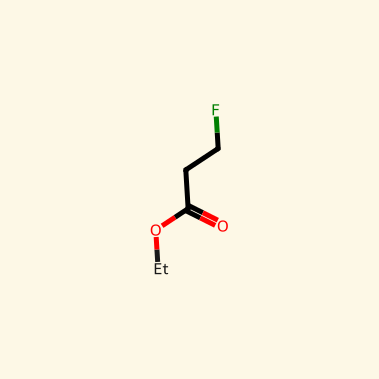 [CH2]COC(=O)CCF